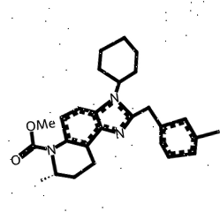 COC(=O)N1c2ccc3c(nc(Cc4cccc(C)c4)n3C3CCCCC3)c2CC[C@@H]1C